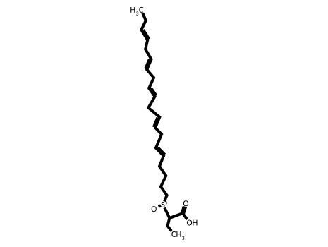 CCC=CCC=CCC=CCC=CCC=CCCCC[S+]([O-])C(CC)C(=O)O